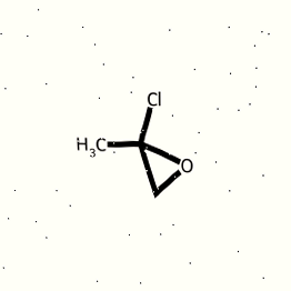 CC1(Cl)CO1